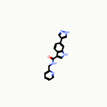 O=C(NCc1ccccn1)c1c[nH]c2cc(-c3cn[nH]c3)ccc12